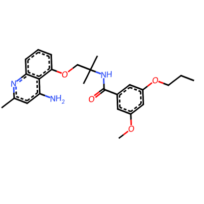 CCCOc1cc(OC)cc(C(=O)NC(C)(C)COc2cccc3nc(C)cc(N)c23)c1